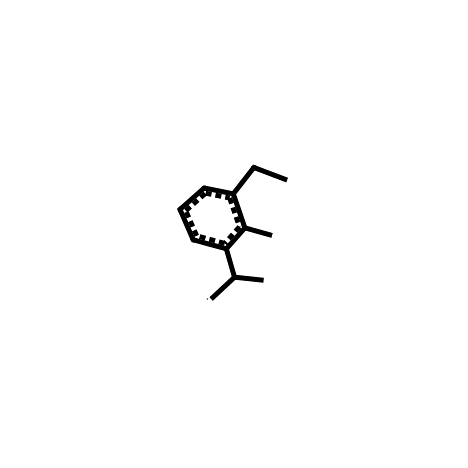 [CH2]C(C)c1cccc(CC)c1C